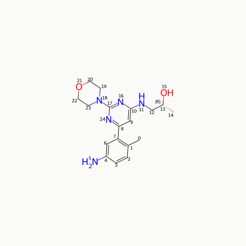 Cc1ccc(N)cc1-c1cc(NC[C@@H](C)O)nc(N2CCOCC2)n1